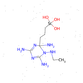 CCNN1C(N)=NC(N)=NC1(N)CCC[Si](O)(O)O